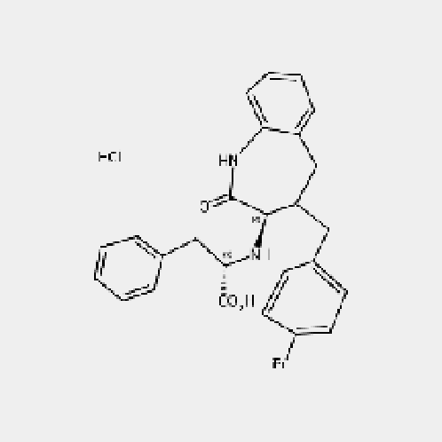 CC(C)c1ccc(CC2Cc3ccccc3NC(=O)[C@@H]2N[C@@H](Cc2ccccc2)C(=O)O)cc1.Cl